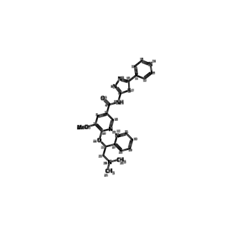 COc1cc(C(=O)Nc2nnc(-c3ccncc3)s2)cnc1OC(CN(C)C)c1ccccn1